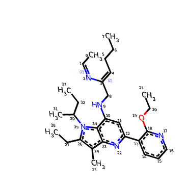 C/C=N\C(=C/CCC)CNc1cc(-c2cccnc2OCC)nc2c(C)c(CC)n(C(C)CC)c12